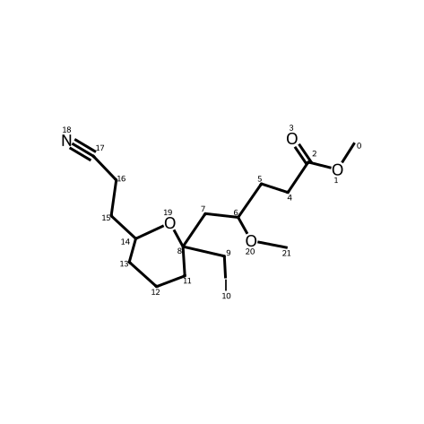 COC(=O)CCC(CC1(CI)CCCC(CCC#N)O1)OC